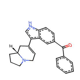 O=C(c1ccccc1)c1ccc2[nH]cc(C3=CCN4CCC[C@@H]4C3)c2c1